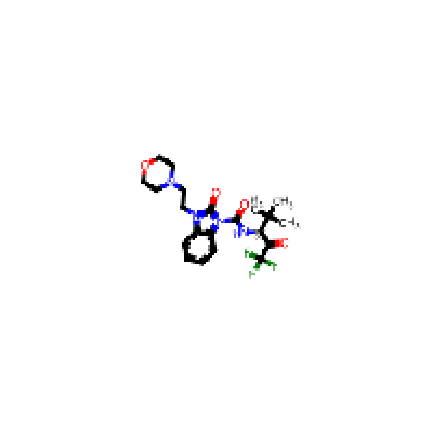 CC(C)(C)[C@H](NC(=O)n1c(=O)n(CCN2CCOCC2)c2ccccc21)C(=O)C(F)(F)F